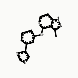 Cc1n[nH]c2ccnc(Nc3cccc(-c4cnco4)c3)c12